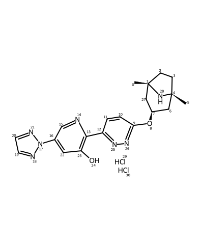 C[C@]12CC[C@](C)(C[C@@H](Oc3ccc(-c4ncc(-n5nccn5)cc4O)nn3)C1)N2.Cl.Cl